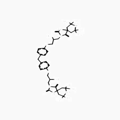 CC1(C)CC2(CC(C)(C)N1)NC(=O)N(CC(O)COc1ccc(Cc3ccc(OCC(O)CN4C(=O)NC5(CC(C)(C)NC(C)(C)C5)C4=O)cc3)cc1)C2=O